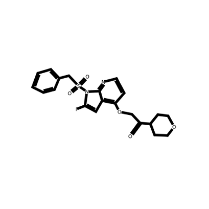 O=C(COc1ccnc2c1cc(I)n2S(=O)(=O)Cc1ccccc1)C1CCOCC1